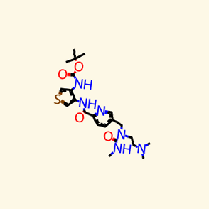 CNC(=O)N(CCN(C)C)Cc1ccc(C(=O)Nc2cscc2NC(=O)OC(C)(C)C)nc1